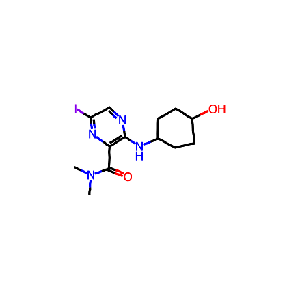 CN(C)C(=O)c1nc(I)cnc1NC1CCC(O)CC1